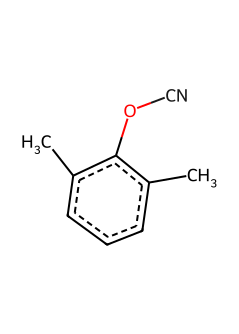 Cc1cccc(C)c1OC#N